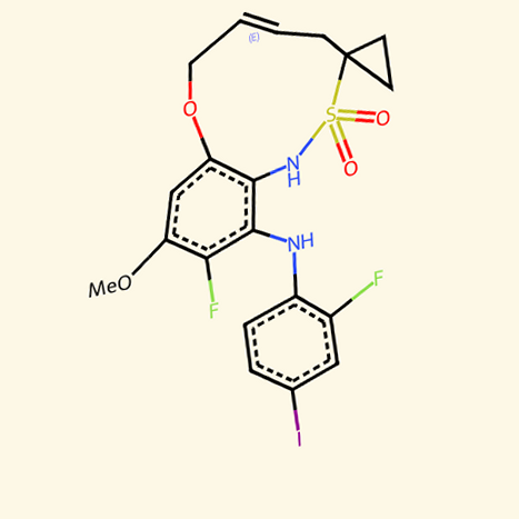 COc1cc2c(c(Nc3ccc(I)cc3F)c1F)NS(=O)(=O)C1(C/C=C/CO2)CC1